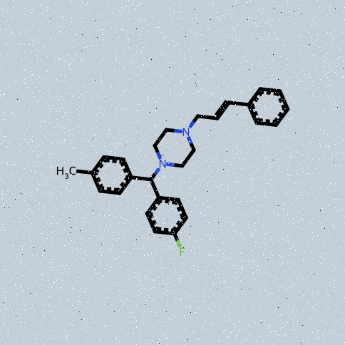 Cc1ccc(C(c2ccc(F)cc2)N2CCN(C/C=C/c3ccccc3)CC2)cc1